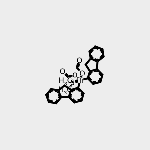 C[Si](C)=[Ti]([O]C=O)([O]C=O)([c]1cccc2c1Cc1ccccc1-2)[c]1cccc2c1Cc1ccccc1-2